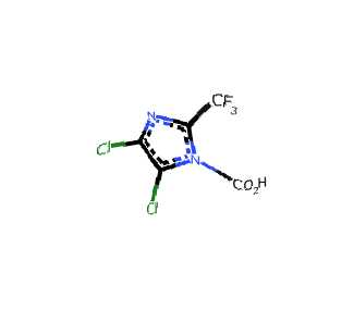 O=C(O)n1c(C(F)(F)F)nc(Cl)c1Cl